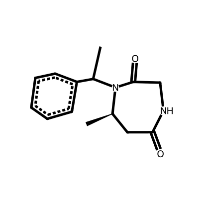 CC(c1ccccc1)N1C(=O)CNC(=O)C[C@H]1C